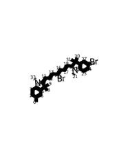 Cc1ccc2c(c1)C(C)(C)\C(=C/C=C/C(Br)=C/C=C/C1=[N+](C)c3ccc(Br)cc3C1(C)C)N2C